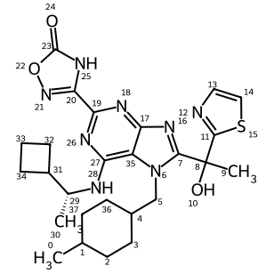 CC1CCC(Cn2c(C(C)(O)c3nccs3)nc3nc(-c4noc(=O)[nH]4)nc(N[C@H](C)C4CCC4)c32)CC1